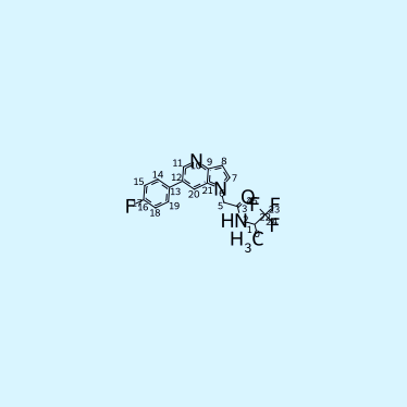 CC(NC(=O)Cn1ccc2ncc(-c3ccc(F)cc3)cc21)C(F)(F)F